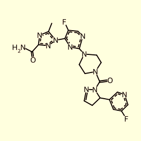 Cc1nc(C(N)=O)nn1-c1nc(N2CCN(C(=O)N3N=CCC3c3cncc(F)c3)CC2)ncc1F